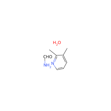 Cc1cccnc1C.NC=O.O